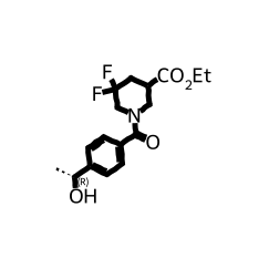 CCOC(=O)C1CN(C(=O)c2ccc([C@@H](C)O)cc2)CC(F)(F)C1